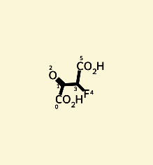 O=C(O)C(=O)C(F)C(=O)O